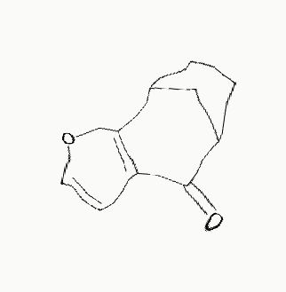 O=C1c2ccoc2C2CCC1C2